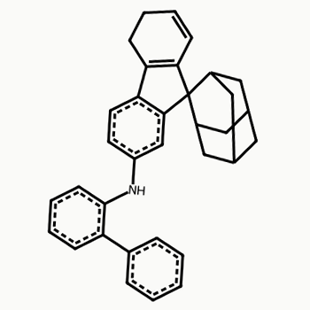 C1=CC2=C(CC1)c1ccc(Nc3ccccc3-c3ccccc3)cc1C21C2CC3CC(C2)CC1C3